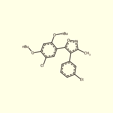 CCCCOc1cc(OCCCC)c(-c2onc(C)c2-c2cccc(CC)c2)cc1Cl